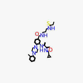 C=C(Nc1cc(C(=O)NCCCNC(=S)CC)ccc1N1CCN(c2ccccc2C)CC1)c1coc(C2CC2)n1